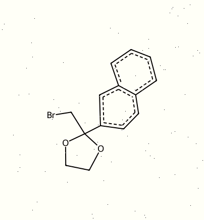 BrCC1(c2ccc3ccccc3c2)OCCO1